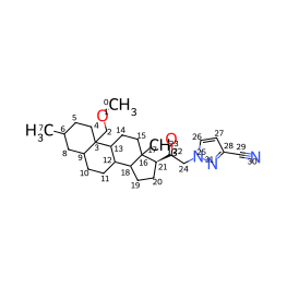 COCC12CCC(C)CC1CCC1C2CCC2(C)C1CC[C@@H]2C(=O)Cn1ccc(C#N)n1